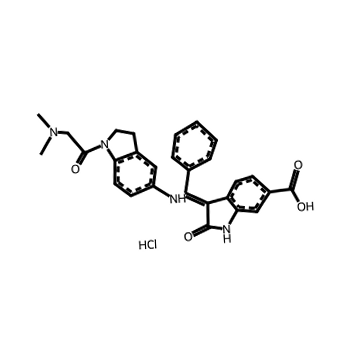 CN(C)CC(=O)N1CCc2cc(NC(=C3C(=O)Nc4cc(C(=O)O)ccc43)c3ccccc3)ccc21.Cl